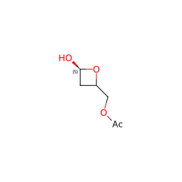 CC(=O)OCC1C[C@@H](O)O1